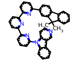 CC1(C)c2ccccc2-c2ccc(-c3cccc(-c4cccc(-c5cccc(-n6c7ccccc7c7cnccc76)n5)n4)n3)cc21